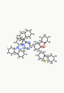 c1ccc(-n2c3ccccc3c3cccc(-c4nc(-c5cc(-c6ccc7sc8ccccc8c7c6)c6oc7ccccc7c6c5)nc(-c5cccc6ccccc56)n4)c32)cc1